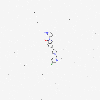 O=C1c2ccc(C3CCN(Cc4ccc(F)cn4)CC3)cc2CN1C1CCCNC1